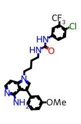 COc1cccc(-c2cn(CCCCNC(=O)Nc3ccc(Cl)c(C(F)(F)F)c3)c3ccnc(N)c23)c1